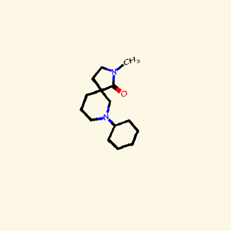 CN1CCC2(CCCN(C3CCCCC3)C2)C1=O